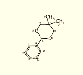 CC1(C)COC(c2ccccc2)OC1